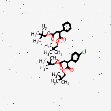 CC(C)(C)COC(=O)CC(C(=O)OCC(C)(C)C)c1ccc(Cl)cc1.CC(C)(C)COC(=O)CC(C(=O)OCC(C)(C)C)c1ccccc1